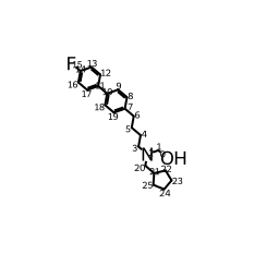 OCN(CCCCc1ccc(-c2ccc(F)cc2)cc1)CC1CCCC1